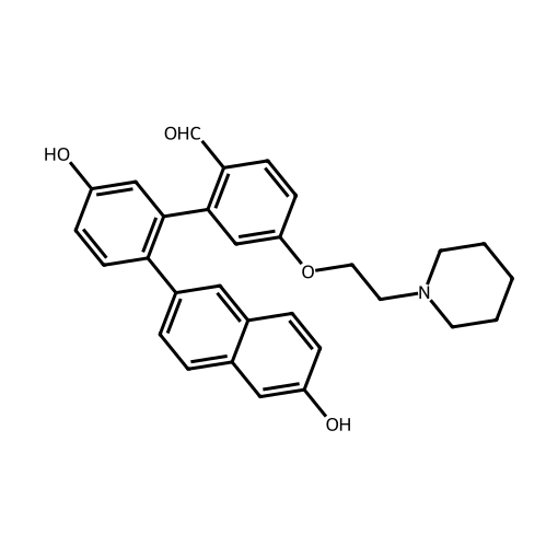 O=Cc1ccc(OCCN2CCCCC2)cc1-c1cc(O)ccc1-c1ccc2cc(O)ccc2c1